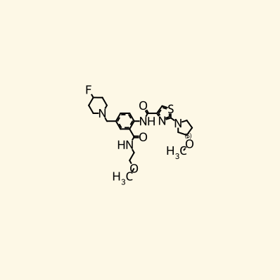 COCCNC(=O)c1cc(CN2CCC(F)CC2)ccc1NC(=O)c1csc(N2CC[C@H](OC)C2)n1